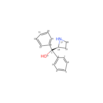 OC(c1ccccc1)(c1ccccc1)[C@@H]1CCN1